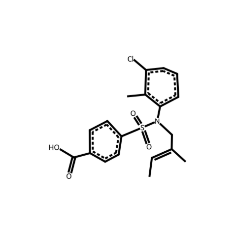 CC=C(C)CN(c1cccc(Cl)c1C)S(=O)(=O)c1ccc(C(=O)O)cc1